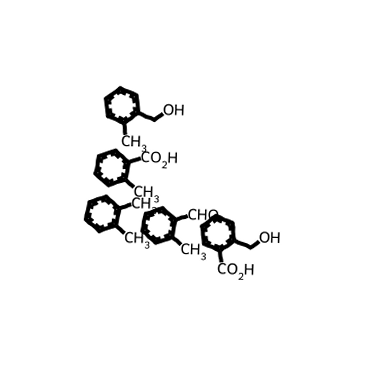 Cc1ccccc1C.Cc1ccccc1C(=O)O.Cc1ccccc1C=O.Cc1ccccc1CO.O=C(O)c1ccccc1CO